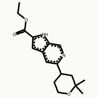 CCOC(=O)c1cc2cc(C3CCOC(C)(C)C3)ncc2[nH]1